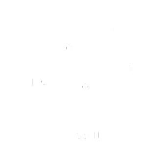 O=C(OC(CS(=O)(=O)O)C(F)(F)F)C(I)I